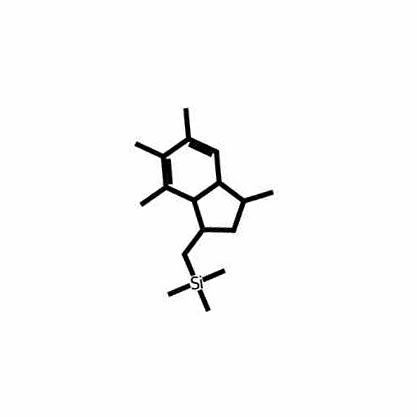 CC1=CC2C(C)CC(C[Si](C)(C)C)C2C(C)=C1C